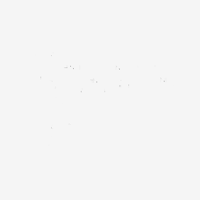 NCC(CO)C[C@@H](N)CNC(=O)c1[nH]c2ccccc2c1-c1ccc(F)cc1